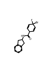 O=C(NC1Cc2ccccc2C1)C1C=CC(F)(Br)C=C1